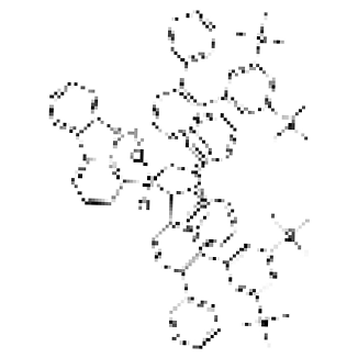 C[Si](C)(C)c1cc(-c2c(-c3ccccc3)ccc3c2C=C(c2ccccc2)[CH]3[Zr]([Cl])([Cl])([c]2cccc3c2[SiH2]c2ccccc2-3)[CH]2C(c3ccccc3)=Cc3c2ccc(-c2ccccc2)c3-c2cc([Si](C)(C)C)cc([Si](C)(C)C)c2)cc([Si](C)(C)C)c1